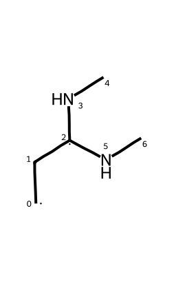 [CH2]C[C](NC)NC